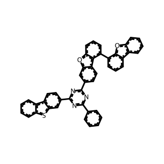 c1ccc(-c2nc(-c3ccc4c(c3)oc3cccc(-c5cccc6c5oc5ccccc56)c34)nc(-c3ccc4c(c3)sc3ccccc34)n2)cc1